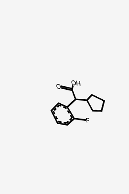 O=C(O)C(c1ccccc1F)C1CCCC1